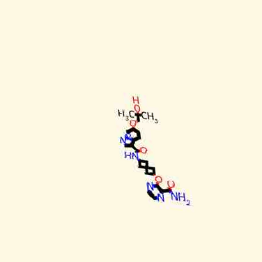 CC(C)(O)COc1ccc2c(C(=O)NC3CC4(C3)CC(Oc3nccnc3C(N)=O)C4)cnn2c1